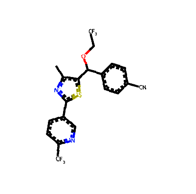 Cc1nc(-c2ccc(C(F)(F)F)nc2)sc1C(OCC(F)(F)F)c1ccc(C#N)cc1